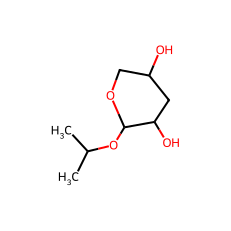 CC(C)OC1OCC(O)CC1O